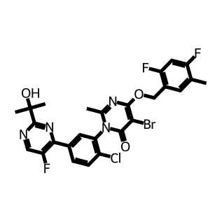 Cc1cc(COc2nc(C)n(-c3cc(-c4nc(C(C)(C)O)ncc4F)ccc3Cl)c(=O)c2Br)c(F)cc1F